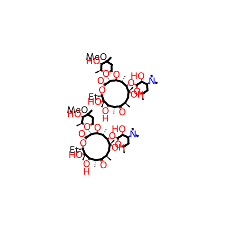 CC[C@H]1OC(=O)[C@H](C)[C@@H](O[C@H]2C[C@@](C)(OC)[C@@H](O)[C@H](C)O2)[C@H](C)[C@@H](O[C@@H]2O[C@H](C)C[C@H](N(C)C)[C@H]2O)[C@](C)(O)C[C@@H](C)C(=O)[C@H](C)[C@@H](O)[C@]1(C)O.CC[C@H]1OC(=O)[C@H](C)[C@@H](O[C@H]2C[C@@](C)(OC)[C@@H](O)[C@H](C)O2)[C@H](C)[C@@H](O[C@@H]2O[C@H](C)C[C@H](N(C)C)[C@H]2O)[C@](C)(O)C[C@@H](C)C(=O)[C@H](C)[C@@H](O)[C@]1(C)O